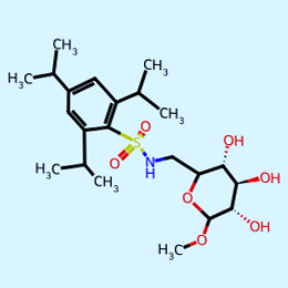 COC1OC(CNS(=O)(=O)c2c(C(C)C)cc(C(C)C)cc2C(C)C)[C@H](O)[C@@H](O)[C@@H]1O